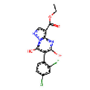 CCOC(=O)c1cnn2c(O)c(-c3ccc(Cl)cc3F)c(O)nc12